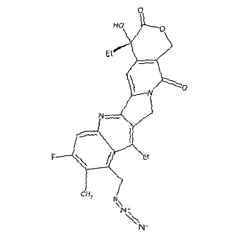 CCc1c2c(nc3cc(F)c(C)c(CN=[N+]=[N-])c13)-c1cc3c(c(=O)n1C2)COC(=O)[C@]3(O)CC